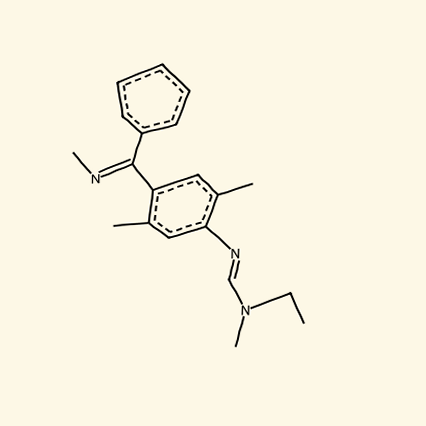 CCN(C)C=Nc1cc(C)c(C(=NC)c2ccccc2)cc1C